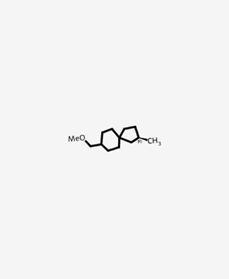 COCC1CCC2(CC1)CC[C@@H](C)C2